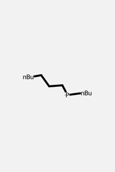 CCCCCCC[P]CCCC